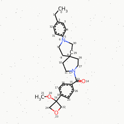 CCc1ccc(N2CCC3(CCN(C(=O)c4ccc(C5(OC)COC5)cc4)CC3)CC2)cc1